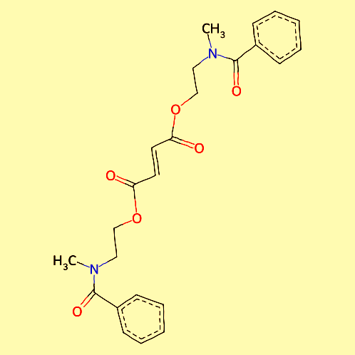 CN(CCOC(=O)/C=C/C(=O)OCCN(C)C(=O)c1ccccc1)C(=O)c1ccccc1